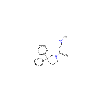 C=C(CCNCCC)N1CCCC(c2ccccc2)(c2ccccc2)C1